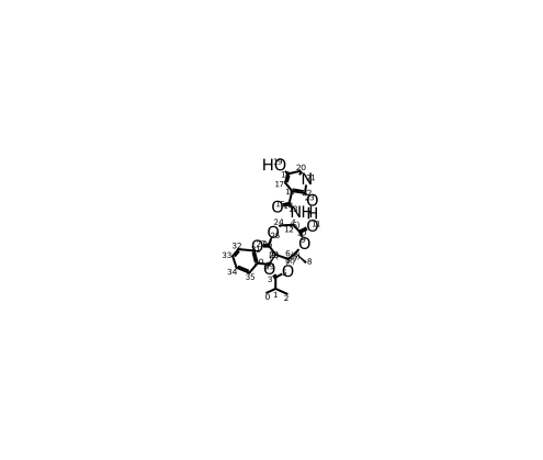 CC(C)C(=O)O[C@H]1[C@H](C)OC(=O)[C@@H](NC(=O)c2cc(O)cnc2O)COC(=O)[C@@H]1Cc1ccccc1